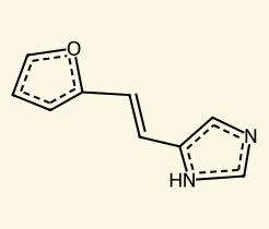 C(=Cc1ccco1)c1cnc[nH]1